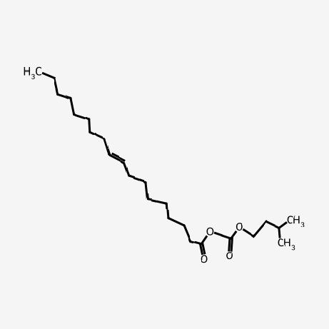 CCCCCCCCC=CCCCCCCCC(=O)OC(=O)OCCC(C)C